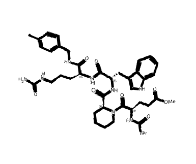 CCCC(=O)N[C@H](CCC(=O)OC)C(=O)N1CCCC[C@H]1C(=O)N[C@@H](Cc1c[nH]c2ccccc12)C(=O)N[C@@H](CCCNC(N)=O)C(=O)NCc1ccc(C)cc1